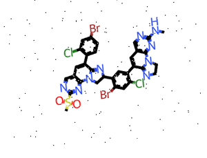 CNc1ncc2c(n1)N1CCN=C1C(c1cc(C3CN4C(=N3)C(c3ccc(Br)cc3Cl)=Cc3cnc(S(C)(=O)=O)nc34)c(Br)cc1Cl)=C2